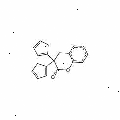 O=C1Oc2ccccc2CC1(C1=CC=CC1)C1=CC=CC1